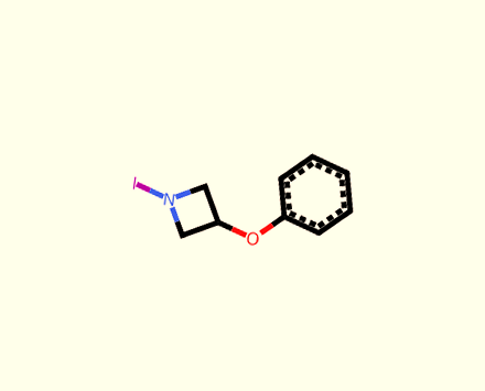 IN1CC(Oc2ccccc2)C1